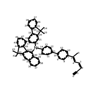 C#C/C=C\C=C(/C)c1ccc(-c2ccc(N(c3ccc4c(c3)C(C)(C)c3ccccc3-4)c3c4c(cc5ccccc35)C(C)(C)c3ccccc3-4)cc2)cc1